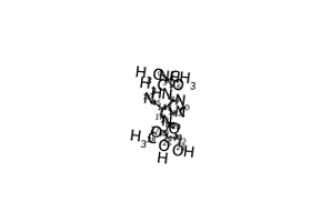 CNC(C)(C)C(=O)Nc1ncnc2c1c(C#N)cn2[C@@H]1O[C@H](CO)C(O)[C@@H]1OC